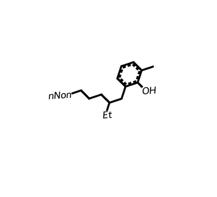 CCCCCCCCCCCCC(CC)Cc1cccc(C)c1O